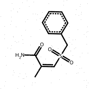 CC(=CS(=O)(=O)Cc1ccccc1)C(N)=O